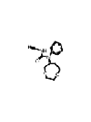 N#CNC(=O)N(c1ccccc1)C1CCCCCCC1